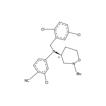 CCC(C)N1C[C@@H](N(Cc2cc(Cl)ccc2Cl)c2ccc(C#N)c(Cl)c2)CCO1